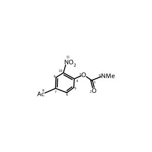 CNC(=O)Oc1ccc(C(C)=O)cc1[N+](=O)[O-]